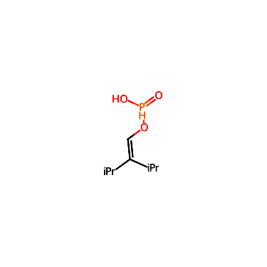 CC(C)C(=CO[PH](=O)O)C(C)C